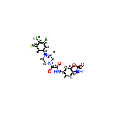 C[C@@H]1CN(C(=O)C(=O)Nc2ccc3[nH]c(=O)oc3c2)CCN1c1cc(F)c(Cl)c(F)c1